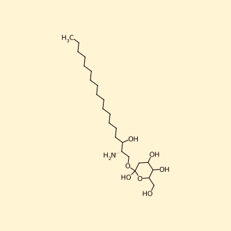 CCCCCCCCCCCCCCCC(O)[C@@H](N)COC1(O)CC(O)C(O)C(CO)O1